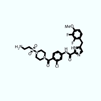 COc1ccc(Cc2cnc(C(=O)Nc3ccc(C(=O)N4CCN(S(=O)(=O)CCN)CC4)c(Cl)c3)[nH]2)c(F)c1F